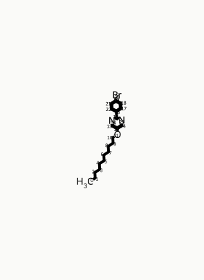 CCCCCCCCCCCOc1cnc(-c2ccc(Br)cc2)nc1